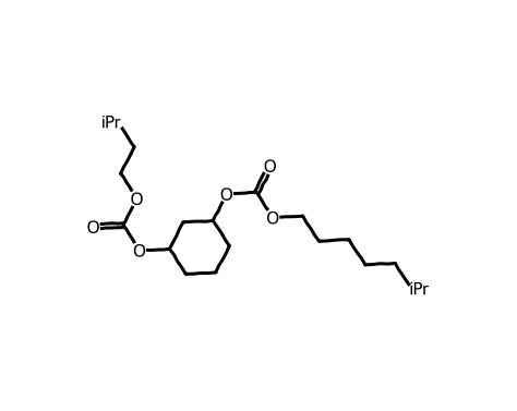 CC(C)CCCCCOC(=O)OC1CCCC(OC(=O)OCCC(C)C)C1